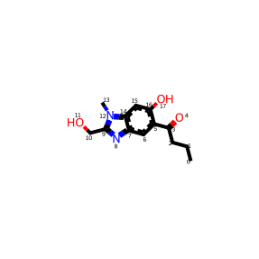 CCCC(=O)c1cc2nc(CO)n(C)c2cc1O